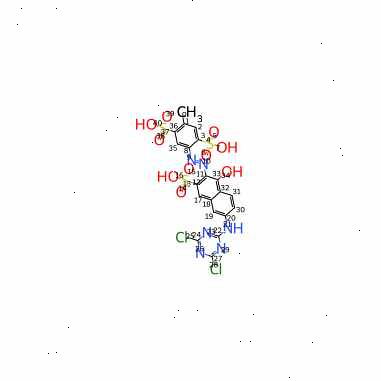 Cc1cc(S(=O)(=O)O)c(/N=N/c2c(S(=O)(=O)O)cc3cc(Nc4nc(Cl)nc(Cl)n4)ccc3c2O)cc1S(=O)(=O)O